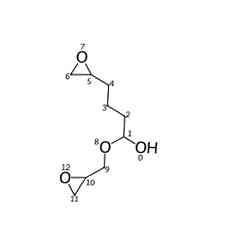 OC(CCCC1CO1)OCC1CO1